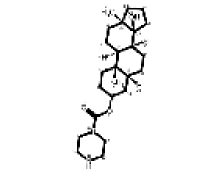 C[C@]12CC[C@H](OC(=O)N3CCNCC3)C[C@H]1CC[C@@H]1[C@@H]2CC[C@]2(C)CCC[C@]12O